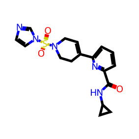 O=C(NC1CC1)c1cccc(C2=CCN(S(=O)(=O)n3ccnc3)CC2)n1